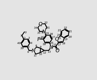 CCc1ccc(CN2CC3C(C2)C3CN(C(=O)c2cc3ccccc3o2)c2ccc(N3CCOCC3)c(F)c2)cc1